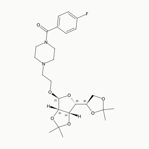 CC1(C)O[C@@H]2[C@H](O1)[C@@H](OCCN1CCN(C(=O)c3ccc(F)cc3)CC1)O[C@@H]2[C@H]1COC(C)(C)O1